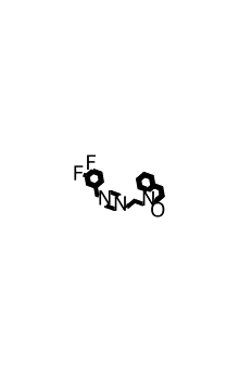 O=c1ccc2ccccc2n1CCCN1CCN(Cc2ccc(F)c(F)c2)CC1